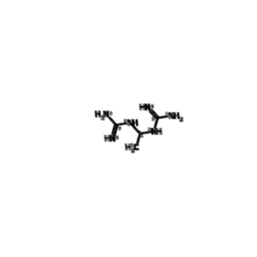 C[C](NC(=N)N)NC(=N)N